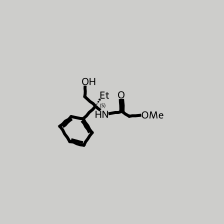 CC[C@](CO)(NC(=O)COC)c1ccccc1